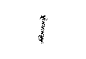 C=C(CC)C(=O)OCCOCCOCCOC(=O)C=C(C)C